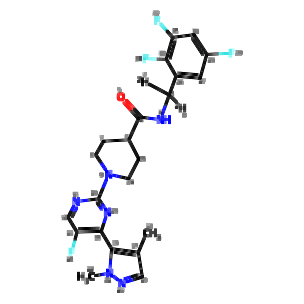 [2H]C([2H])(NC(=O)C1CCN(c2ncc(F)c(-c3c(C)cnn3C)n2)CC1)c1cc(F)cc(F)c1F